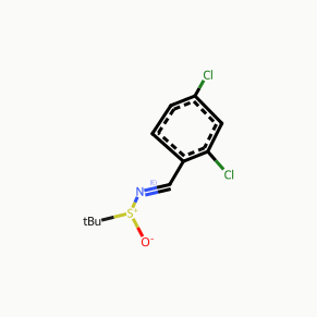 CC(C)(C)[S+]([O-])/N=C/c1ccc(Cl)cc1Cl